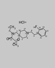 CCN1CC2(CCN(CCc3ccccc3F)CC2)O[C@H](C)C1=O.Cl